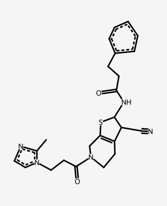 Cc1nccn1CCC(=O)N1CCC2=C(C1)SC(NC(=O)CCc1ccccc1)C2C#N